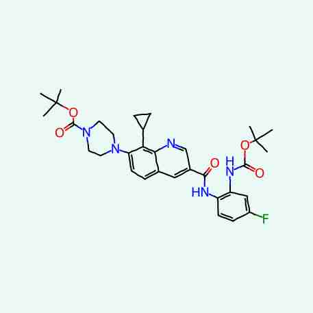 CC(C)(C)OC(=O)Nc1cc(F)ccc1NC(=O)c1cnc2c(C3CC3)c(N3CCN(C(=O)OC(C)(C)C)CC3)ccc2c1